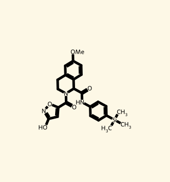 COc1ccc2c(c1)CCN(C(=O)c1cc(O)no1)C2C(=O)Nc1ccc([Si](C)(C)C)cc1